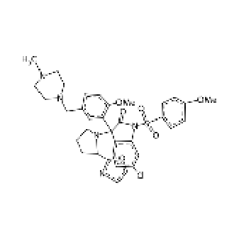 COc1ccc(S(=O)(=O)N2C(=O)C(c3cc(CN4CCN(C)CC4)ccc3OC)(N3CCCC3c3ncco3)c3ccc(Cl)cc32)cc1